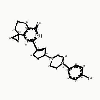 O=c1[nH]c(C2=C[C@@H](N3CCN(c4ccc(F)cc4)CC3)CC2)nc2c1CCCC21CC1